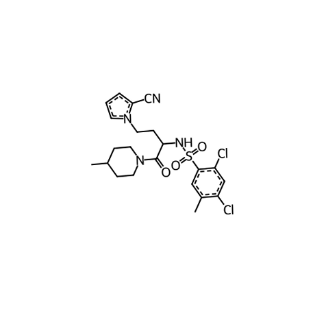 Cc1cc(S(=O)(=O)NC(CCn2cccc2C#N)C(=O)N2CCC(C)CC2)c(Cl)cc1Cl